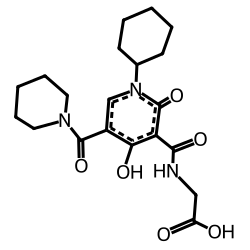 O=C(O)CNC(=O)c1c(O)c(C(=O)N2CCCCC2)cn(C2CCCCC2)c1=O